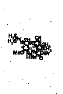 COc1cc(N(C)CCN(C)C)c([N+](=O)[O-])cc1Nc1ncc(C(=O)OC(C)C)c(N2CC(C)(C)c3nc(C#N)ccc32)n1